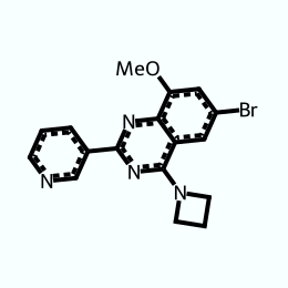 COc1cc(Br)cc2c(N3CCC3)nc(-c3cccnc3)nc12